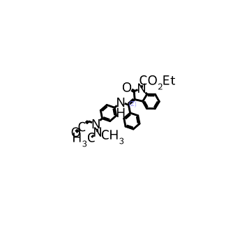 CCOC(=O)N1C(=O)/C(=C(\Nc2ccc(N(C=C=O)N(C)C)cc2)c2ccccc2)c2ccccc21